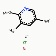 COc1nc[c]([Mg+])cc1C.[Br-].[Cl-].[Li+]